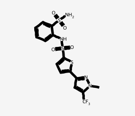 Cn1nc(-c2ccc(S(=O)(=O)Nc3ccccc3S(N)(=O)=O)s2)cc1C(F)(F)F